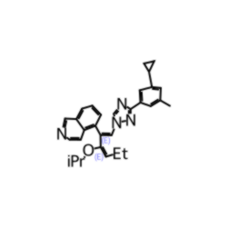 CC/C=C(OC(C)C)\C(=C\n1cnc(-c2cc(C)cc(C3CC3)c2)n1)c1cccc2cnccc12